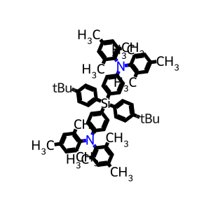 Cc1cc(C)c(N(c2ccc([Si](c3ccc(N(c4c(C)cc(C)cc4C)c4c(C)cc(C)cc4C)cc3)(c3ccc(C(C)(C)C)cc3)c3ccc(C(C)(C)C)cc3)cc2)c2c(C)cc(C)cc2C)c(C)c1